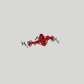 C=CC(=O)OCCCCCCOC1=CC=C(C(=O)Oc2cc(/C=N/Nc3nc4c(s3)CCC=C4)c(OC(=O)c3ccc(OCCCCCCOC(=O)C=C)cc3)c3ccccc23)CC1